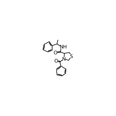 CC(NC(=O)C1CSCN1C(=O)c1ccccc1)c1ccccc1